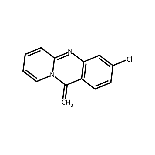 C=C1c2ccc(Cl)cc2N=C2C=CC=CN12